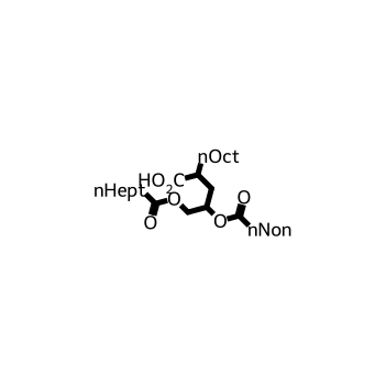 CCCCCCCCCC(=O)OC(COC(=O)CCCCCCC)CC(CCCCCCCC)C(=O)O